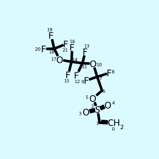 C=CS(=O)(=O)OCC(F)(F)OC(F)(F)C(F)(F)OC(F)(F)F